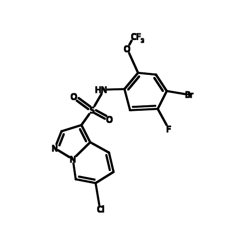 O=S(=O)(Nc1cc(F)c(Br)cc1OC(F)(F)F)c1cnn2cc(Cl)ccc12